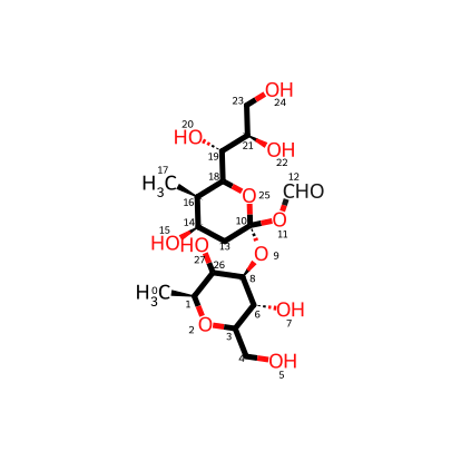 C[C@@H]1OC(CO)[C@@H](O)[C@H](O[C@]2(OC=O)C[C@@H](O)[C@@H](C)C([C@H](O)[C@H](O)CO)O2)C1O